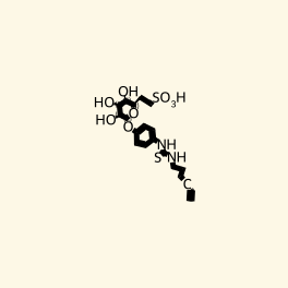 C#CCCCCNC(=S)Nc1ccc(O[C@H]2O[C@H](CCS(=O)(=O)O)[C@@H](O)[C@H](O)[C@@H]2O)cc1